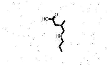 CCCNCC(C)CC(=O)O